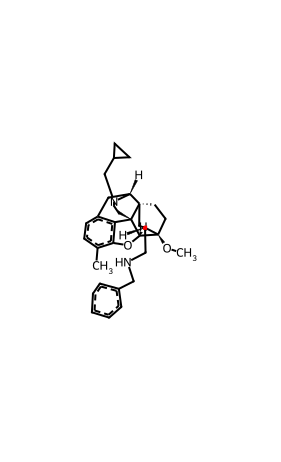 CO[C@]12CC[C@@]3(C[C@H]1CNCc1ccccc1)[C@H]1Cc4ccc(C)c5c4[C@@]3(CCN1CC1CC1)[C@H]2O5